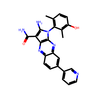 Cc1ccc(O)c(C)c1-n1c(N)c(C(N)=O)c2nc3ccc(-c4cccnc4)cc3nc21